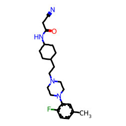 Cc1ccc(F)c(N2CCN(CCC3CCC(NC(=O)CC#N)CC3)CC2)c1